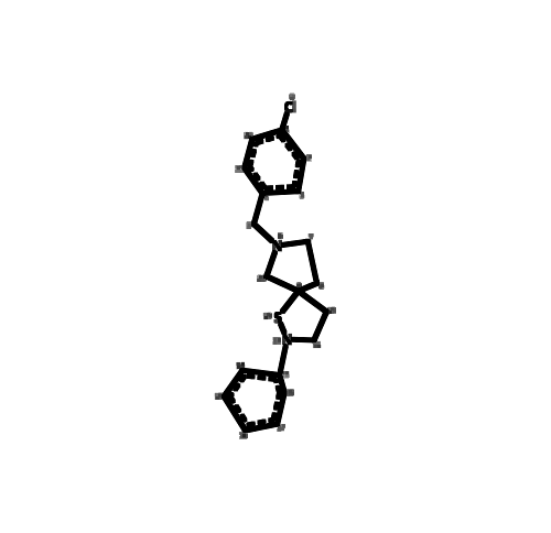 Clc1ccc(CN2CCC3(CCN(c4ccccc4)S3)C2)cc1